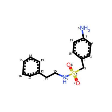 Nc1ccc(CS(=O)(=O)NCCc2ccccc2)cc1